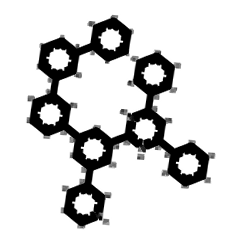 c1ccc(-c2cccc(-c3cccc(-c4cc(-c5cccnc5)cc(-c5nc(-c6ccccc6)cc(-c6ccccc6)n5)c4)c3)c2)cc1